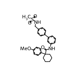 COc1ccc(C2(C(=O)Nc3cccc(-c4ccc(CNS(C)(=O)=O)cc4)c3)CCCCC2)cc1